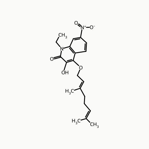 CCn1c(=O)c(O)c(OC/C=C(\C)CCC=C(C)C)c2ccc([N+](=O)[O-])cc21